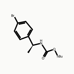 CCCCOC(=O)N[C@@H](C)c1ccc(Br)cc1